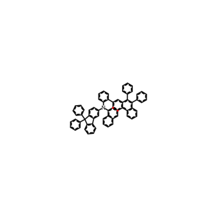 c1ccc(-c2c(-c3ccccc3)c3cc(-c4ccccc4N(c4ccc5c(c4)-c4ccccc4C5(c4ccccc4)c4ccccc4)c4cccc5ccccc45)ccc3c3ccccc23)cc1